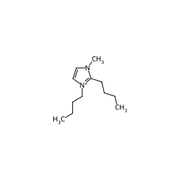 CCCCc1n(C)cc[n+]1CCCC